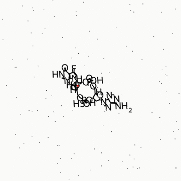 Nc1ncnc2c1ncn2[C@H]1C[C@@H]2OP(=O)(S)OC[C@H]3O[C@@H](n4cc(F)c5c(=O)[nH]cnc54)[C@H](OP(=O)(O)OC[C@H]2O1)[C@@H]3O